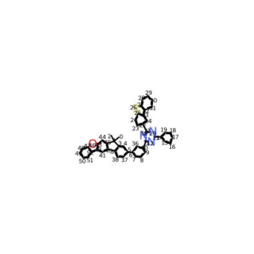 CC1(C)c2cc(-c3cccc(-c4nc(-c5ccccc5)nc(-c5ccc6sc7ccccc7c6c5)n4)c3)ccc2-c2cc3c(cc21)oc1ccccc13